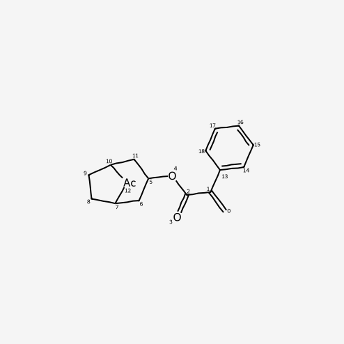 C=C(C(=O)OC1C[CH]2CC[CH](C1)[Ac]2)c1ccccc1